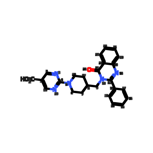 O=C(O)c1cnc(N2CCC(Cn3c(-c4ccccc4)nc4ccccc4c3=O)CC2)nc1